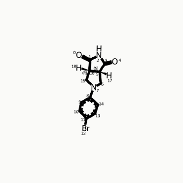 O=C1NC(=O)[C@@H]2CN(c3ccc(Br)cc3)C[C@H]12